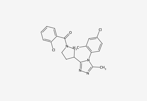 Cc1cc(Cl)ccc1-n1c(C)nnc1C1CCN(C(=O)c2ccccc2Cl)C1